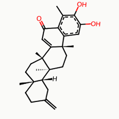 C=C1CC[C@]2(C)CC[C@]3(C)C4=CC(=O)c5c(cc(O)c(O)c5C)[C@]4(C)CC[C@@]3(C)[C@@H]2C1